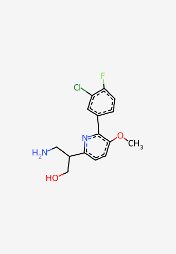 COc1ccc(C(CN)CO)nc1-c1ccc(F)c(Cl)c1